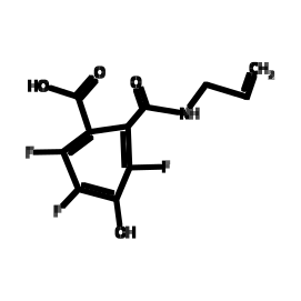 C=CCNC(=O)c1c(F)c(O)c(F)c(F)c1C(=O)O